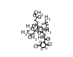 COC(=O)CCN(C)B(OC(=O)CC(C)C)[C@H](CC(C)C)NC(=O)CNC(=O)c1cc(Cl)ccc1Cl